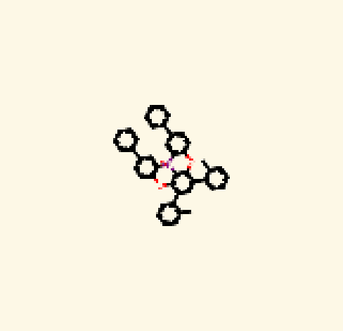 Cc1ccccc1-c1cc(-c2ccccc2C)c2c3c1Oc1ccc(-c4ccccc4)cc1P3(=O)c1cc(-c3ccccc3)ccc1O2